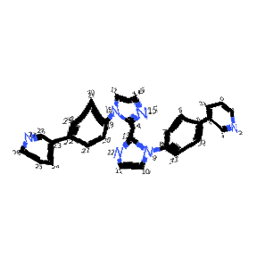 c1cncc(-c2ccc(-n3ccnc3-c3nccn3-c3ccc(-c4cccnc4)cc3)cc2)c1